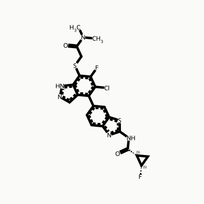 CN(C)C(=O)CSc1c(F)c(Cl)c(-c2ccc3nc(NC(=O)[C@@H]4C[C@@H]4F)sc3c2)c2cn[nH]c12